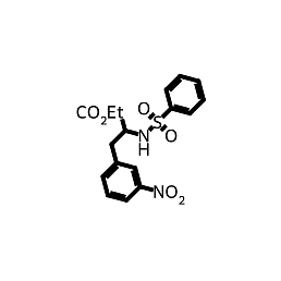 CCOC(=O)C(Cc1cccc([N+](=O)[O-])c1)NS(=O)(=O)c1ccccc1